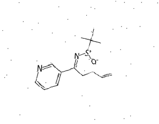 C=CCCC(=N[S+]([O-])C(C)(C)C)c1cccnc1